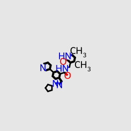 Cc1cc(C)c(CNC(=O)c2cc(-c3cccnc3)cc3c2cnn3C2CCCC2)c(=O)[nH]1